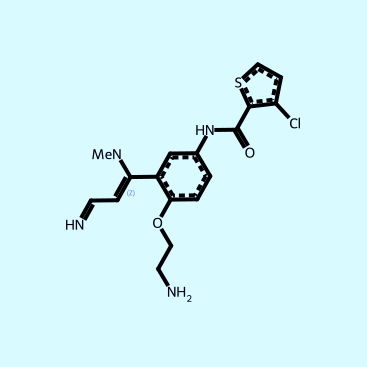 CN/C(=C\C=N)c1cc(NC(=O)c2sccc2Cl)ccc1OCCN